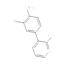 CNc1ccc(-c2cccnc2Cl)cc1N